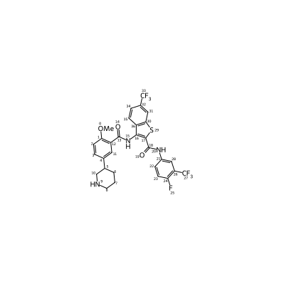 COc1ccc(C2CCCNC2)cc1C(=O)Nc1c(C(=O)Nc2ccc(F)c(C(F)(F)F)c2)sc2cc(C(F)(F)F)ccc12